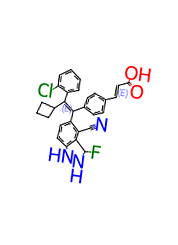 N#Cc1c(/C(=C(/c2ccccc2Cl)C2CCC2)c2ccc(/C=C/C(=O)O)cc2)ccc2c1C(F)NN2